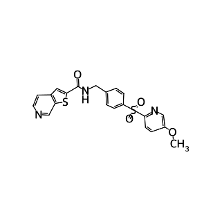 COc1ccc(S(=O)(=O)c2ccc(CNC(=O)c3cc4ccncc4s3)cc2)nc1